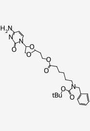 CC(C)(C)OC(=O)N(CCCCCC(=O)OCCC1OCC(n2ccc(N)nc2=O)O1)Cc1ccccc1